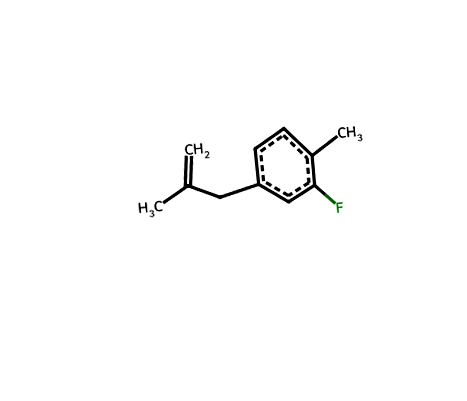 C=C(C)Cc1ccc(C)c(F)c1